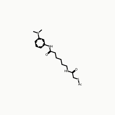 CC(=O)SCC(=O)NCCCCCC(=O)Nc1cccc(N(C)C)c1